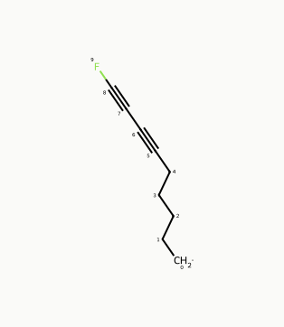 [CH2]CCCCC#CC#CF